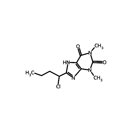 CCCC(Cl)c1nc2c([nH]1)c(=O)n(C)c(=O)n2C